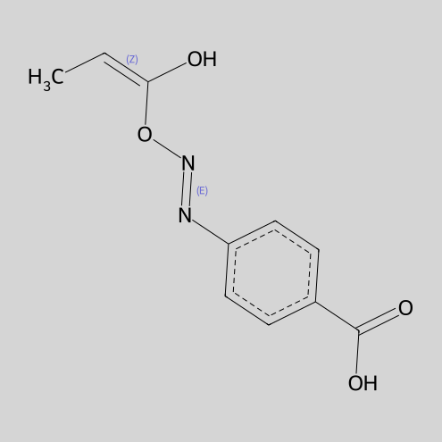 C/C=C(/O)O/N=N/c1ccc(C(=O)O)cc1